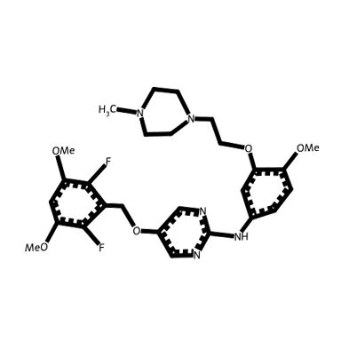 COc1ccc(Nc2ncc(OCc3c(F)c(OC)cc(OC)c3F)cn2)cc1OCCN1CCN(C)CC1